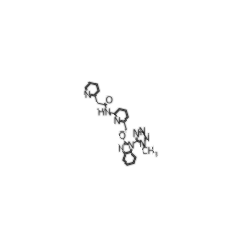 Cn1nnnc1-n1c(OCc2cccc(NC(=O)Cc3ccccn3)n2)nc2ccccc21